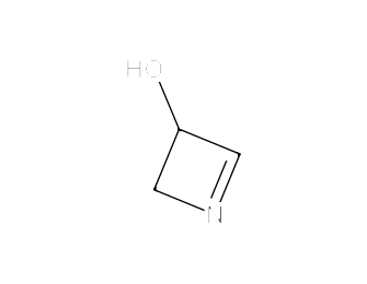 OC1C=NC1